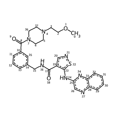 COCCN1CCN(C(=O)c2cccc(CNC(=O)c3cnsc3Nc3cnc4ccccc4n3)c2)CC1